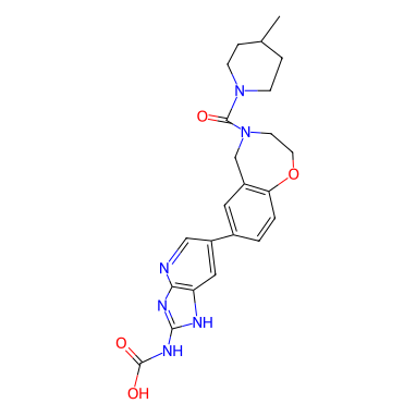 CC1CCN(C(=O)N2CCOc3ccc(-c4cnc5nc(NC(=O)O)[nH]c5c4)cc3C2)CC1